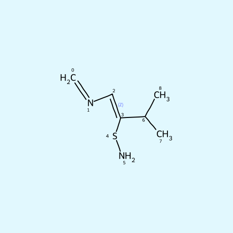 C=N/C=C(\SN)C(C)C